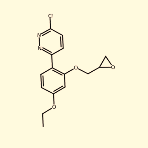 CCOc1ccc(-c2ccc(Cl)nn2)c(OCC2CO2)c1